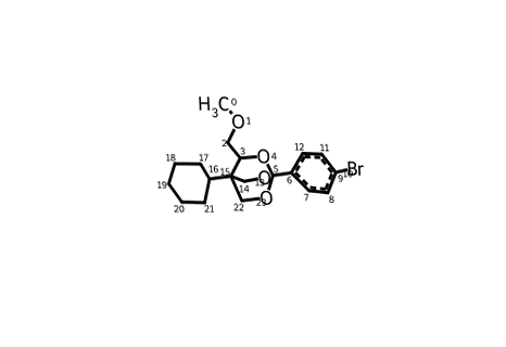 COCC1OC2(c3ccc(Br)cc3)OCC1(C1CCCCC1)CO2